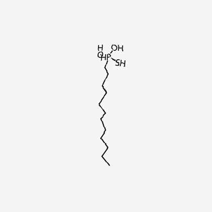 CCCCCCCCCCCC[PH](O)(O)S